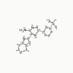 CS(=O)(=O)c1cccc(-c2cnc(N)c(-c3nc4ccccc4o3)n2)c1